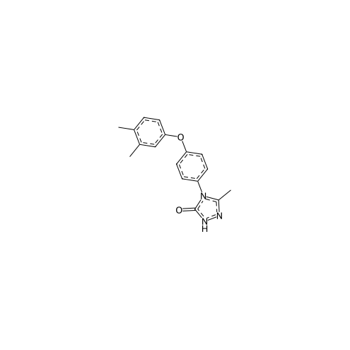 Cc1ccc(Oc2ccc(-n3c(C)n[nH]c3=O)cc2)cc1C